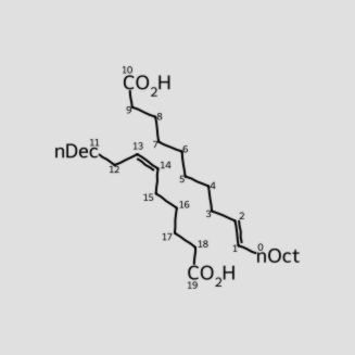 CCCCCCCC/C=C/CCCCCCCC(=O)O.CCCCCCCCCCC/C=C\CCCCC(=O)O